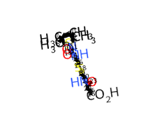 CC1(C)C#CC(C)(C)CS(=O)(=NC(=O)NCCSSCCNC(=O)CCC(=O)O)C1